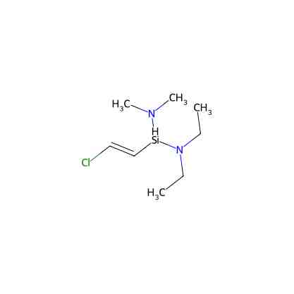 CCN(CC)[SiH](C=CCl)N(C)C